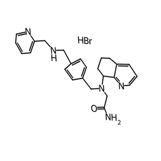 Br.NC(=O)CN(Cc1ccc(CNCc2ccccn2)cc1)C1CCCc2cccnc21